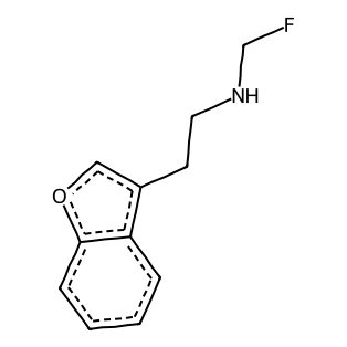 FCNCCc1coc2ccccc12